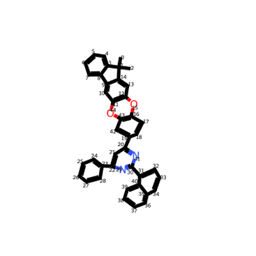 CC1(C)c2ccccc2-c2cc3c(cc21)Oc1ccc(-c2cc(-c4ccccc4)nc(-c4cccc5ccccc45)n2)cc1O3